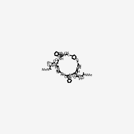 CN[C@@H](C)C(=O)N[C@H](C(=O)N1C[C@@H]2CC1C(=O)N[C@@H](Cc1ccccc1)C(=O)N[C@H](C(=O)O)Cc1ccc(cc1)OCc1cn(nn1)[C@H]1C[C@@H](C(=O)N[C@@H](Cc3ccccc3)C(=O)NCc3cn2nn3)N(C(=O)[C@@H](NC(=O)[C@H](C)NC)C(C)C)C1)C(C)C